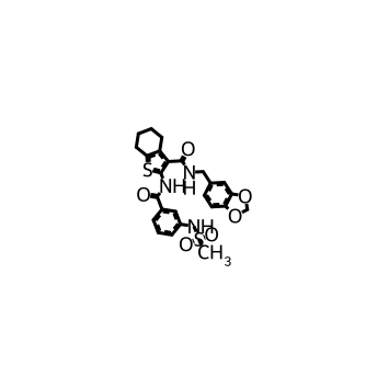 CS(=O)(=O)Nc1cccc(C(=O)Nc2sc3c(c2C(=O)NCc2ccc4c(c2)OCO4)CCCC3)c1